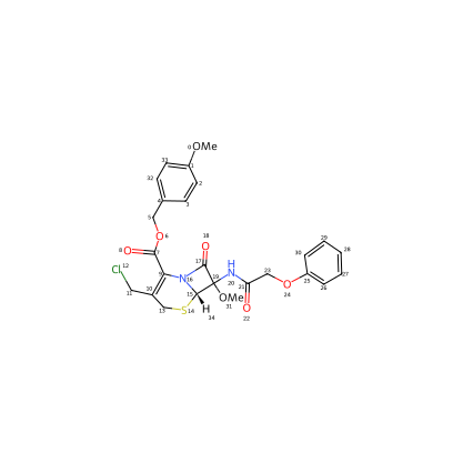 COc1ccc(COC(=O)C2=C(CCl)CS[C@@H]3N2C(=O)C3(NC(=O)COc2ccccc2)OC)cc1